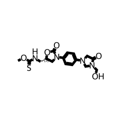 COC(=S)NC[C@H]1CN(c2ccc(N3CC(=O)N(CO)C3)cc2)C(=O)O1